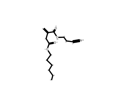 C=C(CC(=O)OCCCCCC)C(=O)OCCC#N